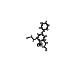 CCCc1cc(-c2ccccc2)cc(CCC)c1O